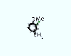 COC1CCCC(C)CC1Cl